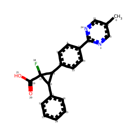 Cc1cnc(-c2ccc(C3C(c4ccccc4)C3(F)C(=O)O)cc2)nc1